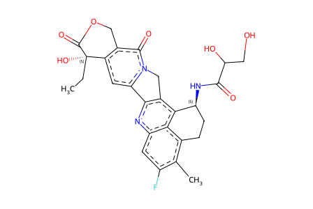 CC[C@@]1(O)C(=O)OCc2c1cc1n(c2=O)Cc2c-1nc1cc(F)c(C)c3c1c2[C@@H](NC(=O)C(O)CO)CC3